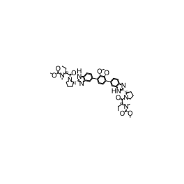 CC[C@@H](C(=O)N1CCC[C@H]1c1nc2cc(-c3ccc(-c4ccc5nc([C@@H]6CCCN6C(=O)[C@H](CC)N(C)C(=O)OC)[nH]c5c4)c4c3OCO4)ccc2[nH]1)N(C)C(=O)OC